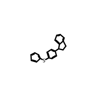 c1ccc(Sc2ccc(C3CCc4ccccc43)cc2)cc1